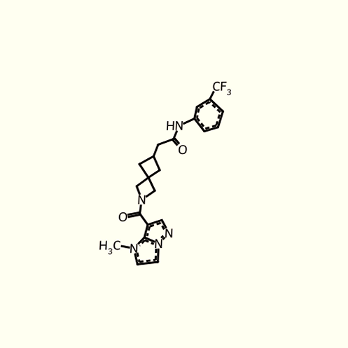 Cn1ccn2ncc(C(=O)N3CC4(CC(CC(=O)Nc5cccc(C(F)(F)F)c5)C4)C3)c12